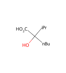 CCCCC(O)(C(=O)O)C(C)C